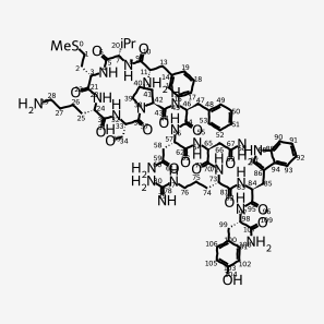 CSCC[C@H](NC(=O)[C@@H](NC(=O)[C@@H](N)Cc1ccccc1)C(C)C)C(=O)N[C@@H](CCCCN)C(=O)N[C@@H](CO)C(=O)N1CCC[C@H]1C(=O)N[C@@H](Cc1ccccc1)C(=O)N[C@@H](CC(N)=O)C(=O)N[C@@H](CC(N)=O)C(=O)N[C@@H](CCCNC(=N)N)C(=O)N[C@@H](Cc1c[nH]c2ccccc12)C(=O)N[C@@H](Cc1ccc(O)cc1)C(N)=O